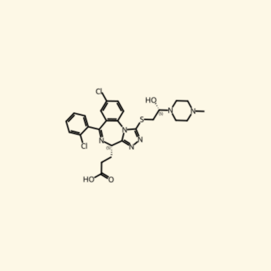 CN1CCN([C@@H](O)CSc2nnc3n2-c2ccc(Cl)cc2C(c2ccccc2Cl)=N[C@H]3CCC(=O)O)CC1